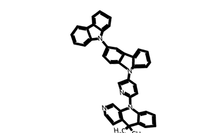 CC1(C)c2ccccc2N(c2ccc(-n3c4ccccc4c4cc(-n5c6ccccc6c6ccccc65)ccc43)cn2)c2cnccc21